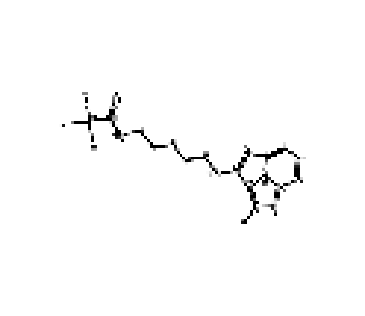 Cc1nc2cccc3nc(SCCCCCNC(=O)C(F)(F)F)c1n23